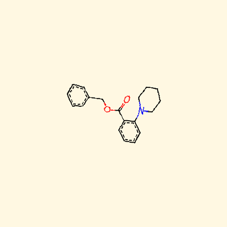 O=C(OCc1ccccc1)c1ccccc1N1CCCCC1